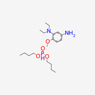 CCCCO[PH](=O)OCCCC.CCN(CC)c1cc(N)ccc1OC